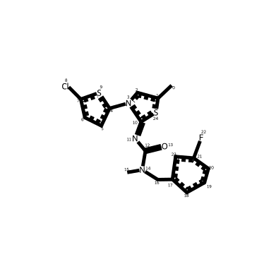 Cc1cn(-c2ccc(Cl)s2)/c(=N/C(=O)N(C)Cc2cccc(F)c2)s1